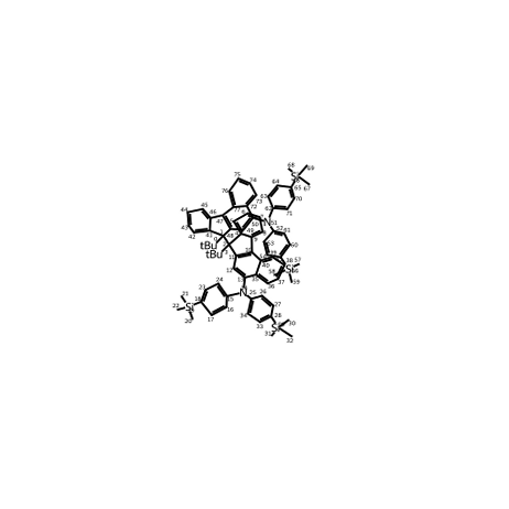 CC(C)(C)C1(C2(C(C)(C)C)c3ccccc3-c3c2cc(N(c2ccc([Si](C)(C)C)cc2)c2ccc([Si](C)(C)C)cc2)c2ccccc32)c2ccccc2-c2c1cc(N(c1ccc([Si](C)(C)C)cc1)c1ccc([Si](C)(C)C)cc1)c1ccccc21